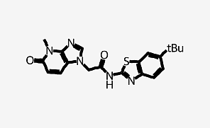 Cn1c(=O)ccc2c1ncn2CC(=O)Nc1nc2ccc(C(C)(C)C)cc2s1